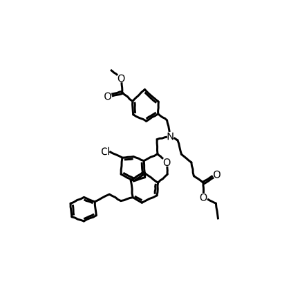 CCOC(=O)CCCCN(Cc1ccc(C(=O)OC)cc1)CC(OCc1ccc(CCc2ccccc2)cc1)c1cccc(Cl)c1